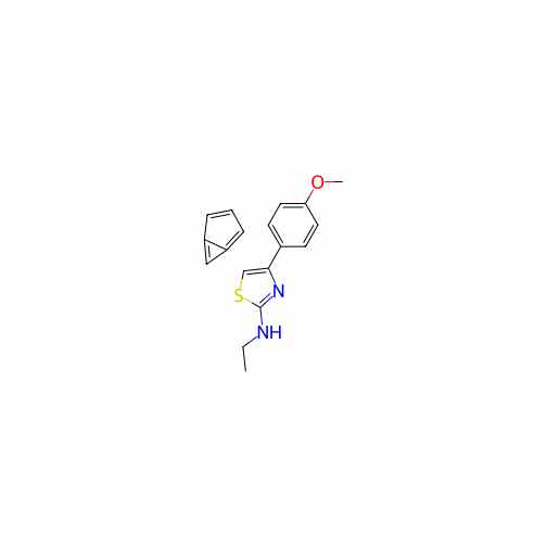 CCNc1nc(-c2ccc(OC)cc2)cs1.c1cc2cc-2c1